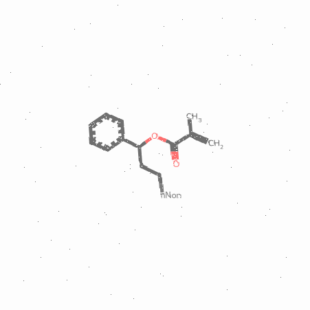 C=C(C)C(=O)OC(CCCCCCCCCCC)c1ccccc1